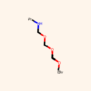 CC(C)NCOCOCOC(C)(C)C